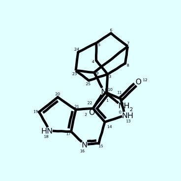 NC(=O)C12CC3CC(C1)C(n1c(=O)[nH]c4cnc5[nH]ccc5c41)C(C3)C2